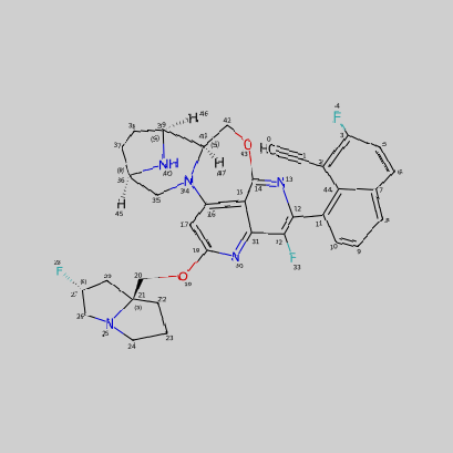 C#Cc1c(F)ccc2cccc(-c3nc4c5c(cc(OC[C@@]67CCCN6C[C@H](F)C7)nc5c3F)N3C[C@H]5CC[C@H](N5)[C@H]3CO4)c12